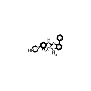 C=N/C(=N\c1c(C)cccc1-c1ccccc1)Nc1ccc(N2CCNCC2)cc1